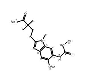 COC(=O)C(C)(C)CCc1nc2cc(OC)c(NC(=O)OC(C)(C)C)cc2n1C